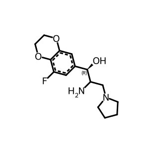 NC(CN1CCCC1)[C@H](O)c1cc(F)c2c(c1)OCCO2